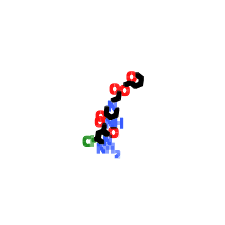 COc1nc(N)c(Cl)cc1C(=O)N[C@H]1CCN(CCC(=O)OCC2CCCCO2)C[C@H]1OC